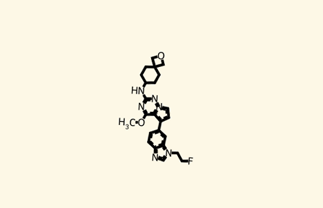 COc1nc(NC2CCC3(CC2)COC3)nn2ccc(-c3ccc4ncn(CCF)c4c3)c12